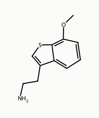 COc1cccc2c(CCN)csc12